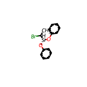 CC(Br)[SiH](Oc1ccccc1)Oc1ccccc1